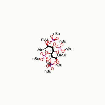 CCCCOP(=O)(OCCCC)O[C@H]([C@H](OP(=O)(OCCCC)OCCCC)[C@@H](OP(=O)(OCCCC)OCCCC)C(=O)OC)[C@H](OP(=O)(OCCCC)OCCCC)C(=O)OC